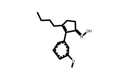 CCCCC1=C(c2cccc(OC)c2)C(=NO)CC1